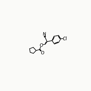 N#C/C(=C\OC(=O)C1CCCC1)c1ccc(Cl)cc1